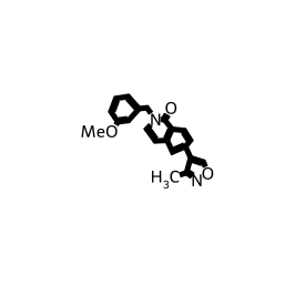 COc1cccc(Cn2ccc3cc(-c4conc4C)ccc3c2=O)c1